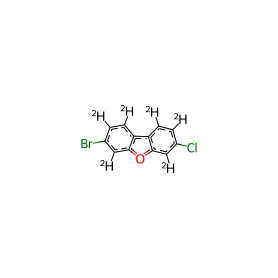 [2H]c1c(Cl)c([2H])c2oc3c([2H])c(Br)c([2H])c([2H])c3c2c1[2H]